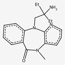 CCC(N)(CC)CN1c2ccccc2C(=O)N(C)c2cccnc21